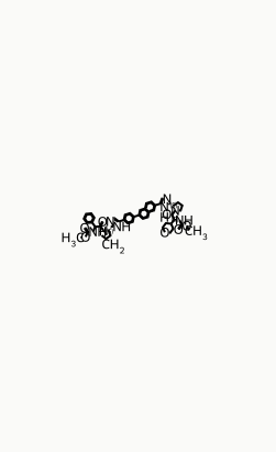 C=C1C[C@@H](c2ncc(-c3ccc(-c4ccc5cc(-c6cnc([C@@H]7CCCN7C(=O)[C@@H](NC(=O)OC)C7CCOCC7)[nH]6)ccc5c4)cc3)[nH]2)N(C(=O)C(NC(=O)OC)c2ccccc2)C1